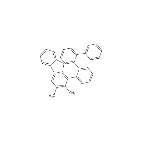 Cc1cc2c(c(-c3ccccc3-c3ccccc3-c3ccccc3)c1C)Cc1ccccc1-2